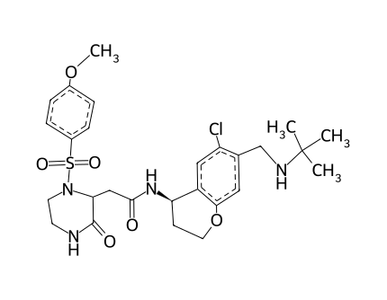 COc1ccc(S(=O)(=O)N2CCNC(=O)C2CC(=O)N[C@@H]2CCOc3cc(CNC(C)(C)C)c(Cl)cc32)cc1